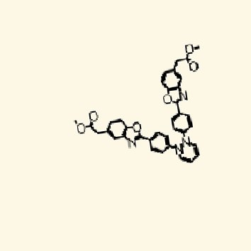 COC(=O)Cc1ccc2oc(-c3ccc(N4C=CC=CN4c4ccc(-c5nc6cc(CC(=O)OC)ccc6o5)cc4)cc3)nc2c1